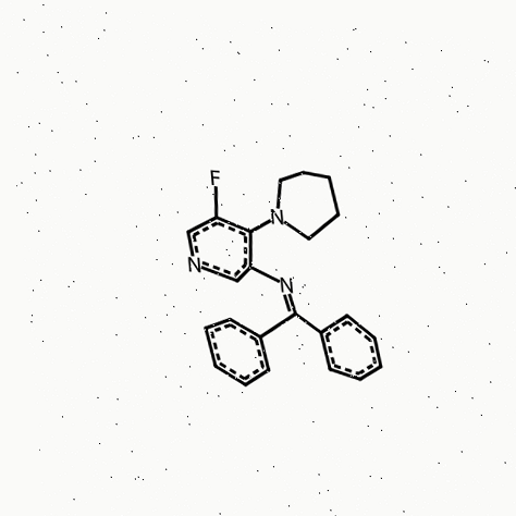 Fc1cncc(N=C(c2ccccc2)c2ccccc2)c1N1CCCCC1